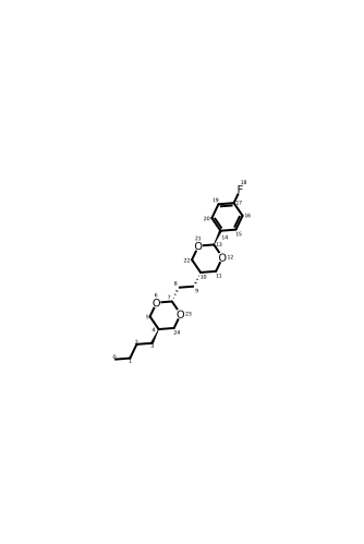 CCCC[C@H]1CO[C@H](CC[C@H]2CO[C@H](c3ccc(F)cc3)OC2)OC1